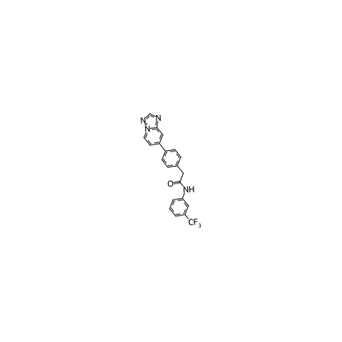 O=C(Cc1ccc(-c2ccn3ncnc3c2)cc1)Nc1cccc(C(F)(F)F)c1